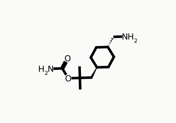 CC(C)(C[C@H]1CC[C@H](CN)CC1)OC(N)=O